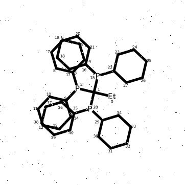 CCC(P(C1CCCCC1)C1CCCCC1)(P(C1CCCCC1)C1CCCCC1)P(C1CCCCC1)C1CCCCC1